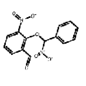 O=Cc1cccc([N+](=O)[O-])c1OC(c1ccccc1)[N+](=O)[O-]